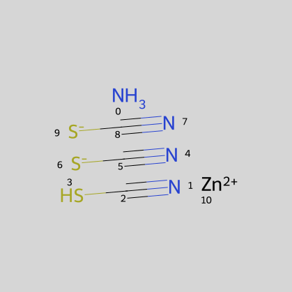 N.N#CS.N#C[S-].N#C[S-].[Zn+2]